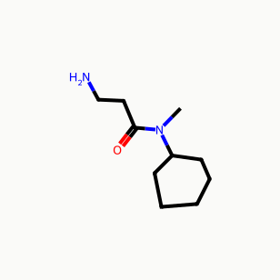 CN(C(=O)CCN)C1CCCCC1